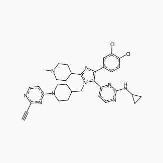 C#Cc1nccc(N2CCC(Cn3c(C4CCN(C)CC4)nc(-c4ccc(Cl)c(Cl)c4)c3-c3ccnc(NC4CC4)n3)CC2)n1